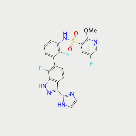 COc1ncc(F)cc1S(=O)(=O)Nc1cccc(-c2ccc3c(-c4ncc[nH]4)n[nH]c3c2F)c1F